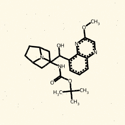 COc1cnc2cccc(C(O)CN3C4CCC3CC(NC(=O)OC(C)(C)C)C4)c2n1